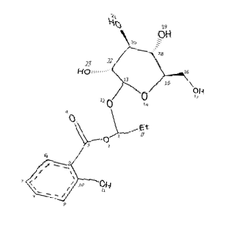 CCC(OC(=O)c1ccccc1O)OC1O[C@H](CO)[C@@H](O)[C@H](O)[C@H]1O